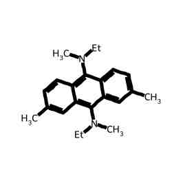 CCN(C)c1c2ccc(C)cc2c(N(C)CC)c2cc(C)ccc12